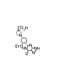 CCOc1cc(N2CC[C@@H](C(=O)O)C2)ccc1-c1nc2[nH]cnc2c(=O)[nH]1